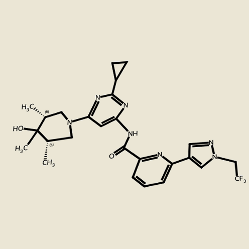 C[C@@H]1CN(c2cc(NC(=O)c3cccc(-c4cnn(CC(F)(F)F)c4)n3)nc(C3CC3)n2)C[C@H](C)C1(C)O